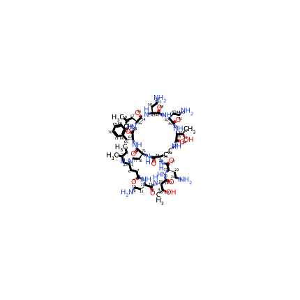 CCC(C)CCCCC(=O)N[C@@H](CCN)C(=O)N[C@H](C(=O)N[C@@H](CCN)C(=O)N[C@H]1CCNC(=O)[C@H]([C@@H](C)O)NC(=O)[C@H](CCN)NC(=O)[C@H](CCN)NC(=O)[C@H](CC(C)C)NC(=O)[C@@H](Cc2ccccc2)NC(=O)[C@H](CCN)NC1=O)[C@@H](C)O